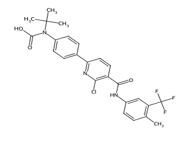 Cc1ccc(NC(=O)c2ccc(-c3ccc(N(C(=O)O)C(C)(C)C)cc3)nc2Cl)cc1C(F)(F)F